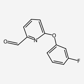 O=Cc1cccc(Oc2cccc(F)c2)n1